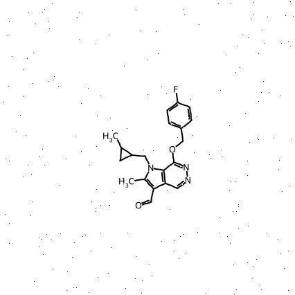 Cc1c(C=O)c2cnnc(OCc3ccc(F)cc3)c2n1CC1CC1C